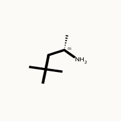 C[C@H](N)CC(C)(C)C